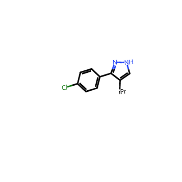 CC(C)c1c[nH]nc1-c1ccc(Cl)cc1